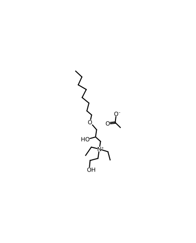 CC(=O)[O-].CCCCCCCCOCC(O)C[N+](CC)(CC)CCO